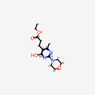 CCOC(=O)CCc1c(C)nc(N2CCOCC2)nc1O